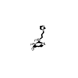 O=C1C=NC(NCCCn2ccnc2)N1